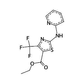 CCOC(=O)c1sc(Nc2ccccn2)nc1C(F)(F)F